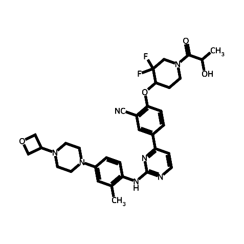 Cc1cc(N2CCN(C3COC3)CC2)ccc1Nc1nccc(-c2ccc(OC3CCN(C(=O)C(C)O)CC3(F)F)c(C#N)c2)n1